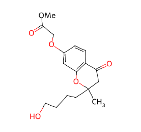 COC(=O)COc1ccc2c(c1)OC(C)(CCCCO)CC2=O